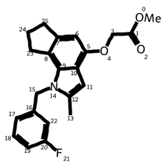 COC(=O)COc1cc2c(c3c1cc(C)n3Cc1cccc(F)c1)CCC2